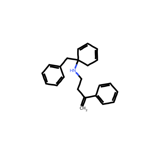 C=C(CCNC1(Cc2ccccc2)C=CC=CC1)c1ccccc1